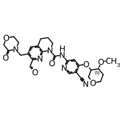 CO[C@H]1CCOCC1Oc1cc(NC(=O)N2CCCc3cc(CN4CCOCC4=O)c(C=O)nc32)ncc1C#N